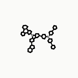 c1ccc(-c2ccc(N(c3ccc(-c4ccccc4)cc3)c3ccc(-c4ccc5c(c4)c4cc(-c6ccc7ccccc7c6)ccc4n5-c4ccc5c6ccccc6c6ccccc6c5c4)cc3)cc2)cc1